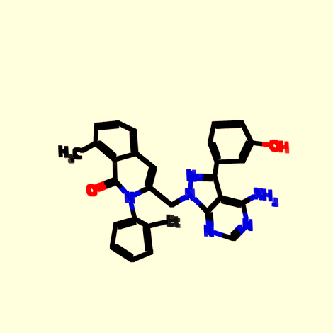 CCc1ccccc1-n1c(Cn2nc(-c3cccc(O)c3)c3c(N)ncnc32)cc2cccc(C)c2c1=O